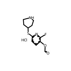 Cl.O=COc1ccc(SC2CCNCC2)nc1F